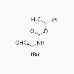 CC(C)[C@@H](C)OC(=O)N[C@H](C=O)C(C)(C)C